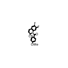 COc1ccc(C(=O)N2c3cc(F)c(F)cc3C=CC2C#N)cc1